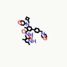 Cc1cc(C)c(CNC(=O)c2cc(-c3ccc(CN4CCOCC4)cc3)cc(N(CC3CCC3)C3CCOCC3)c2C)c(=O)[nH]1